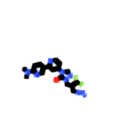 CN(C)c1ccc(-c2cc(-n3cnn(CC(CN)=C(F)F)c3=O)ccn2)cn1